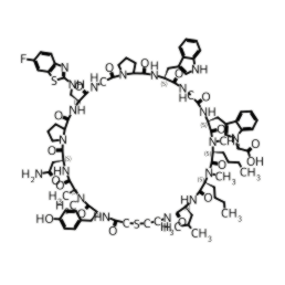 CCCC[C@H]1C(=O)N(C)[C@@H](CCCC)C(=O)N[C@@H](CC(C)C)C(=O)NCCSCC(=O)N[C@@H](Cc2ccc(O)cc2)C(=O)N(C)[C@@H](C)C(=O)N[C@@H](CC(N)=O)C(=O)N2CCCC2C(=O)N[C@@H](CNc2nc3ccc(F)cc3s2)C(=O)NCC(=O)N2CCCC2C(=O)N[C@@H](Cc2c[nH]c3ccccc23)C(=O)NCC(=O)N[C@@H](Cc2cn(CC(=O)O)c3ccccc23)C(=O)N1C